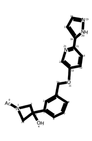 CC(=O)N1CC(O)(c2cccc(COc3ccc(-c4ccn[nH]4)nc3)c2)C1